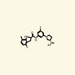 CC(=O)N(C)[C@H]1CCN(c2cc(F)cc(NC(=O)C3Cc4c(F)ccc(C)c4N3)c2)C1